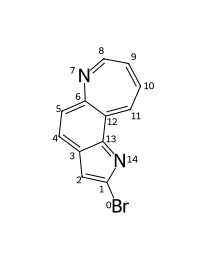 Brc1cc2ccc3nccccc3c2n1